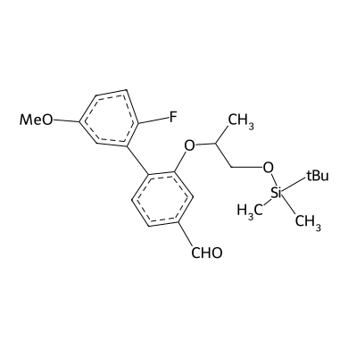 COc1ccc(F)c(-c2ccc(C=O)cc2OC(C)CO[Si](C)(C)C(C)(C)C)c1